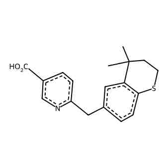 CC1(C)CCSc2ccc(Cc3ccc(C(=O)O)cn3)cc21